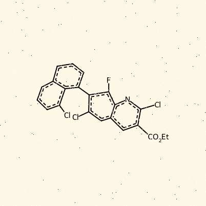 CCOC(=O)c1cc2cc(Cl)c(-c3cccc4cccc(Cl)c34)c(F)c2nc1Cl